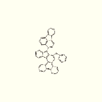 c1ccc2c(c1)-c1cccc3c(-n4c5ccccc5c5c6c7ccccc7c7ccccc7c6c6c7ccccc7sc6c54)ccc-2c13